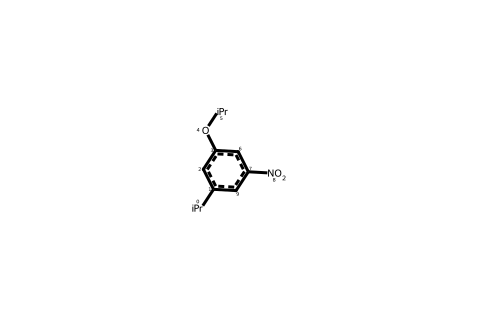 [CH2]C(C)c1cc(OC(C)C)cc([N+](=O)[O-])c1